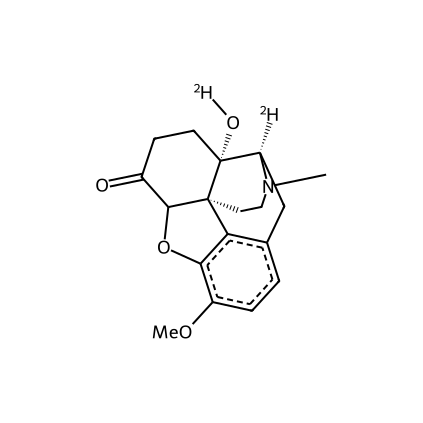 [2H]O[C@@]12CCC(=O)C3Oc4c(OC)ccc5c4[C@@]31CCN(C)[C@]2([2H])C5